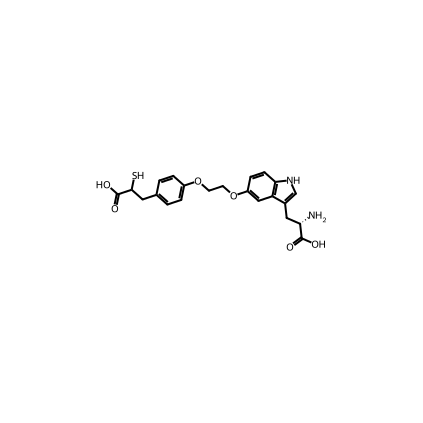 N[C@@H](Cc1c[nH]c2ccc(OCCOc3ccc(CC(S)C(=O)O)cc3)cc12)C(=O)O